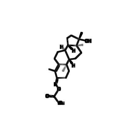 CC1=C2CC[C@@H]3[C@H](CC[C@@]4(C)[C@H]3CC[C@]4(C)O)[C@@]2(C)CC/C1=N\OC(=O)C(C)(C)C